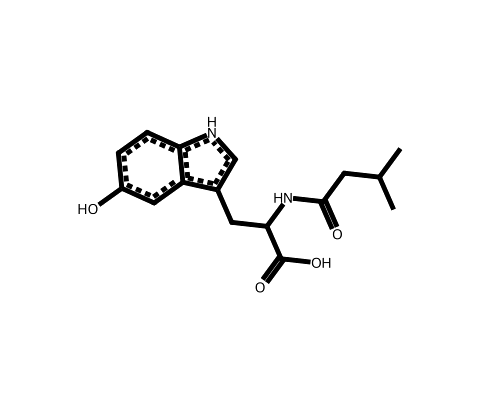 CC(C)CC(=O)NC(Cc1c[nH]c2ccc(O)cc12)C(=O)O